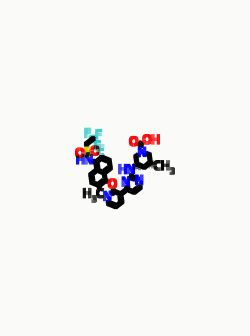 Cc1ccc2c(NS(=O)(=O)CC(F)(F)F)c(F)ccc2c1Oc1ncccc1-c1ccnc(N[C@H]2C[C@@H](C)CN(C(=O)O)C2)n1